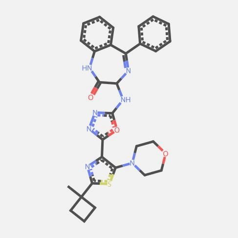 CC1(c2nc(-c3nnc(NC4N=C(c5ccccc5)c5ccccc5NC4=O)o3)c(N3CCOCC3)s2)CCC1